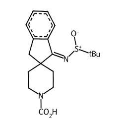 CC(C)(C)[S+]([O-])/N=C1\c2ccccc2CC12CCN(C(=O)O)CC2